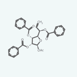 C=C[C@@H](OC(=O)c1ccccc1)[C@H]1O[C@@H](OC(C)=O)[C@H](OC(=O)c2ccccc2)[C@@H]1OC(=O)c1ccccc1